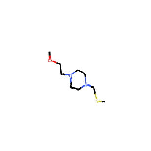 COCCN1CCN(CSC)CC1